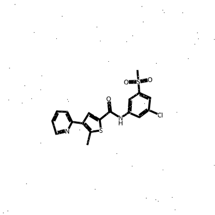 Cc1sc(C(=O)Nc2cc(Cl)cc(S(C)(=O)=O)c2)cc1-c1ccccn1